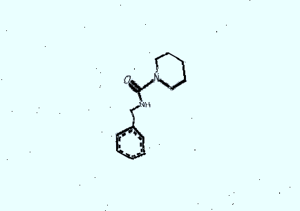 O=C(NCc1ccccc1)N1CC[CH]CC1